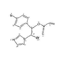 CCCCCCC(=O)OC(c1ccc(Br)cc1)C(Br)n1ccnc1